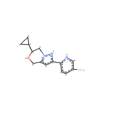 Fc1ccc(-c2cc3n(n2)CC(C2CC2)OC3)nc1